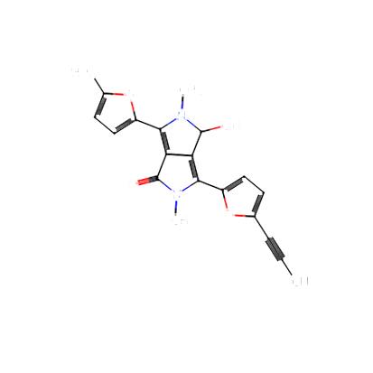 CC#Cc1ccc(C2=C3C(=C(c4ccc(C)o4)N(C)C3O)C(=O)N2C)o1